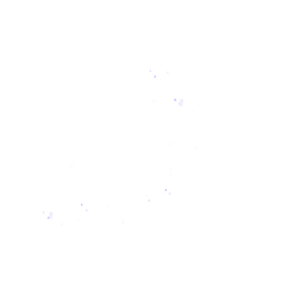 CC(=O)CC(=O)Nc1ccccc1.Nc1ccc(OCOc2ccc(N)c([N+](=O)[O-])c2)cc1[N+](=O)[O-]